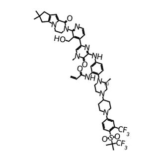 C=CC(=O)Nc1cc(Nc2nc(-c3ccnc(N4CCn5c(cc6c5CC(C)(C)C6)C4=O)c3CO)cn(C)c2=O)ccc1N1CCN(C2CCN(c3ccc(S(=O)(=O)C(C)(C)C(F)(F)F)c(C(F)(F)F)c3)CC2)C[C@@H]1C